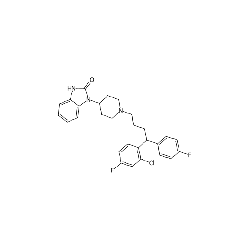 O=c1[nH]c2ccccc2n1C1CCN(CCCC(c2ccc(F)cc2)c2ccc(F)cc2Cl)CC1